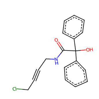 O=C(NCC#CCCl)C(O)(c1ccccc1)c1ccccc1